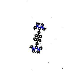 Cc1cccc(N(c2cccc(C)c2)c2cc(-c3ccc(-c4c5ccccc5c(-c5c6ccccc6c(-c6ccc(-c7cc(N(c8cccc(C)c8)c8cccc(C)c8)cc(N(c8cccc(C)c8)c8cccc(C)c8)c7)cc6)c6ccccc56)c5ccccc45)cc3)cc(N(c3cccc(C)c3)c3cccc(C)c3)c2)c1